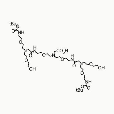 CC(C)(C)OC(=O)NCCOCCN(CCOCCO)CC(=O)NCCOCCN(CCOCCNC(=O)CN(CCOCCO)CCOCCNC(=O)OC(C)(C)C)CC(=O)O